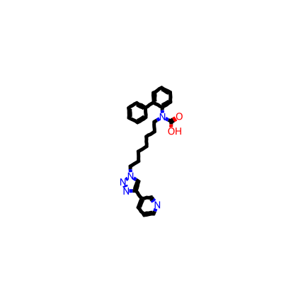 O=C(O)N(CCCCCCCn1cc(-c2cccnc2)nn1)c1ccccc1-c1ccccc1